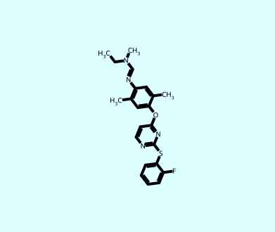 CCN(C)C=Nc1cc(C)c(Oc2ccnc(Sc3ccccc3F)n2)cc1C